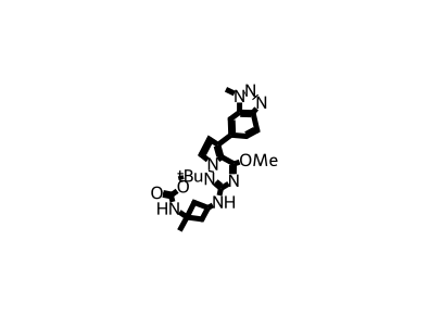 COc1nc(NC2CC(C)(NC(=O)OC(C)(C)C)C2)nn2ccc(-c3ccc4nnn(C)c4c3)c12